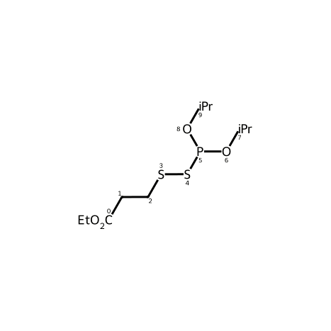 CCOC(=O)CCSSP(OC(C)C)OC(C)C